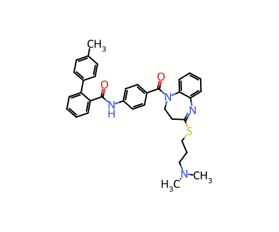 Cc1ccc(-c2ccccc2C(=O)Nc2ccc(C(=O)N3CCC(SCCCN(C)C)=Nc4ccccc43)cc2)cc1